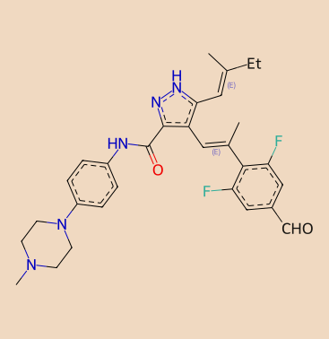 CC/C(C)=C/c1[nH]nc(C(=O)Nc2ccc(N3CCN(C)CC3)cc2)c1/C=C(\C)c1c(F)cc(C=O)cc1F